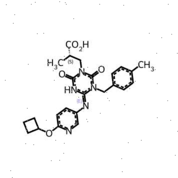 Cc1ccc(Cn2c(=O)n(C[C@H](C)C(=O)O)c(=O)[nH]/c2=N\c2ccc(OC3CCC3)nc2)cc1